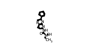 CCN(S)C(=O)Nc1ccc2ncc(-c3ccccc3)nc2n1